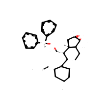 CC(=O)OC[C@H]1C[C@@H](C)CC[C@]1(C)[C@H]1CC[C@@]2(C)[C@@H](C[C@H]3O[C@]32C)[C@@H]1CO[Si](c1ccccc1)(c1ccccc1)C(C)(C)C